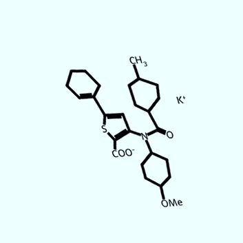 COC1CCC(N(C(=O)C2CCC(C)CC2)c2cc(C3=CCCCC3)sc2C(=O)[O-])CC1.[K+]